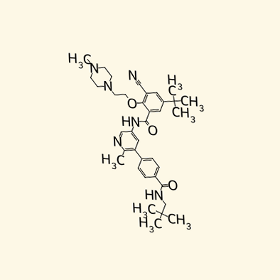 Cc1ncc(NC(=O)c2cc(C(C)(C)C)cc(C#N)c2OCCN2CCN(C)CC2)cc1-c1ccc(C(=O)NCC(C)(C)C)cc1